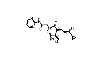 CC\C=c1/c(C(C)C)nn(CC(=O)Nc2ncccn2)c(=O)/c1=C/C=C(\C)C1CC1